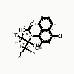 CC(N(C(=O)O)c1c(Cl)cc(Cl)c2ccccc12)(C(F)(F)F)C(F)(F)F